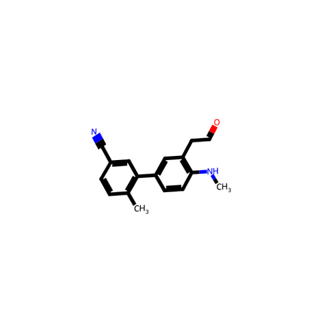 CNc1ccc(-c2cc(C#N)ccc2C)cc1CC=O